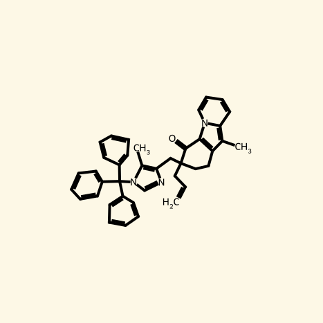 C=CCC1(Cc2ncn(C(c3ccccc3)(c3ccccc3)c3ccccc3)c2C)CCc2c(C)c3ccccn3c2C1=O